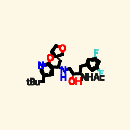 CC(=O)N[C@@H](Cc1cc(F)cc(F)c1)[C@H](O)CN[C@@H]1C[C@@]2(CCOC2)Oc2ncc(CC(C)(C)C)cc21